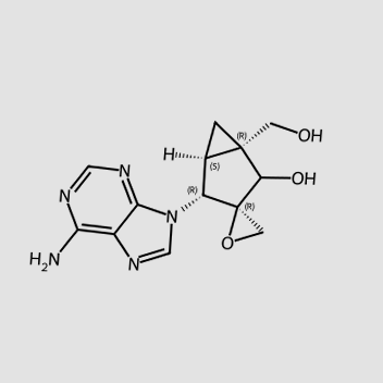 Nc1ncnc2c1ncn2[C@@H]1[C@H]2C[C@@]2(CO)C(O)[C@]12CO2